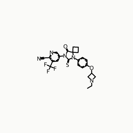 CCN1CC(Oc2ccc(N3C(=S)N(c4cnc(C#N)c(C(F)(F)F)c4)C(=O)C34CCC4)cc2)C1